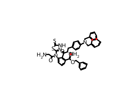 NCC(=O)N(c1n[nH]c(=S)s1)c1cccc(C(=O)OCc2ccccc2)c1C(=O)[C@@H](N)Cc1ccc(N(Cc2ccccc2)Cc2ccccc2)cc1